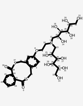 O=C1SCc2ccc(OCCN(C[C@H](O)[C@@H](O)[C@H](O)[C@H](O)CO)C[C@H](O)[C@@H](O)[C@H](O)[C@H](O)CO)cc2CSC(=O)c2ccccc21